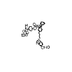 CC(C)(C)OC(=O)NC1CCC(OC(=O)Nc2cc(CCCCn3cnc4cc(C=O)ccc43)ccc2-c2ccccc2)CC1